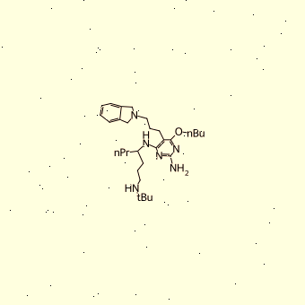 CCCCOc1nc(N)nc(NC(CCC)CCCNC(C)(C)C)c1CCCN1Cc2ccccc2C1